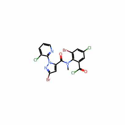 CN(C(=O)c1cc(Br)nn1-c1ncccc1Cl)c1c(Br)cc(Cl)cc1C(=O)Cl